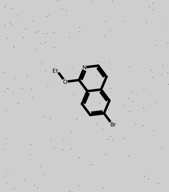 CCOc1nccc2cc(Br)ccc12